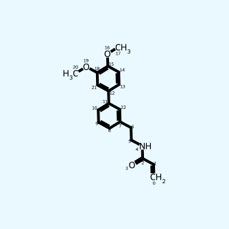 C=CC(=O)NCCc1cccc(-c2ccc(OC)c(OC)c2)c1